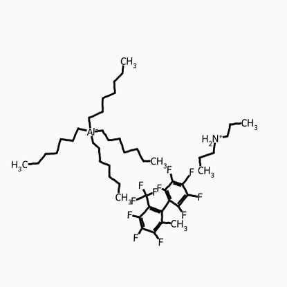 CCCCCC[CH2][Al-]([CH2]CCCCCC)([CH2]CCCCCC)[CH2]CCCCCC.CCC[NH2+]CCC.Cc1c(F)c(F)c(F)c(C(F)(F)F)c1-c1c(F)c(F)c(F)c(F)c1F